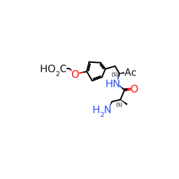 CC(=O)[C@H](Cc1ccc(OCC(=O)O)cc1)NC(=O)[C@@H](C)CN